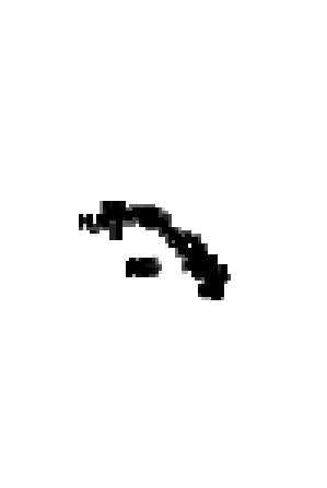 Cc1c(S(=O)(=O)NCP(=O)([O-])[O-])sc2ccc(OCCC[N+]34CC[N+](CCCNC(=N)N)(CC3)CC4)cc12.Cl.Cl